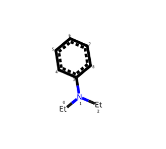 CCN(CC)c1cc[c]cc1